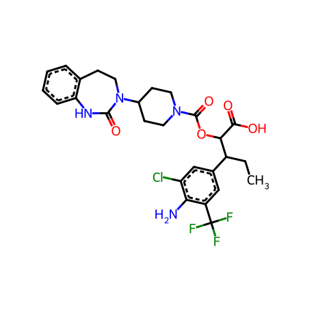 CCC(c1cc(Cl)c(N)c(C(F)(F)F)c1)C(OC(=O)N1CCC(N2CCc3ccccc3NC2=O)CC1)C(=O)O